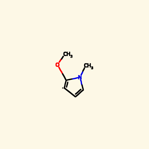 COc1[c]ccn1C